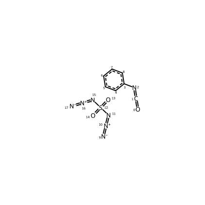 O=C=Nc1ccccc1.[N-]=[N+]=NS(=O)(=O)N=[N+]=[N-]